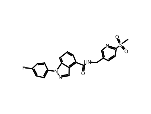 CS(=O)(=O)c1ccc(CNC(=O)c2cccc3c2cnn3-c2ccc(F)cc2)cn1